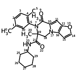 Cc1ccc(C)c(N2C(=O)c3cc4occc4n3CC2(C)C(=O)NC2CCCCC2)c1